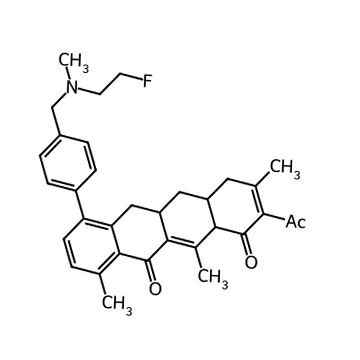 CC(=O)C1=C(C)CC2CC3Cc4c(-c5ccc(CN(C)CCF)cc5)ccc(C)c4C(=O)C3=C(C)C2C1=O